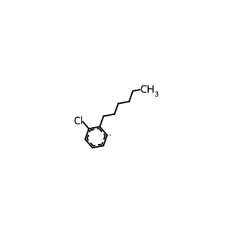 CCCCCCc1[c]cccc1Cl